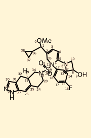 COC(C1=CC=C(N2CC(O)C2)[N+](c2ccc(F)cc2)(S(=O)(=O)N2CCC3=Cc4[nH]ncc4C[C@H]3C2)C1)C1CC1